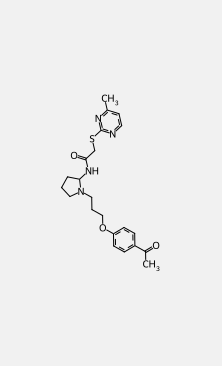 CC(=O)c1ccc(OCCCN2CCCC2NC(=O)CSc2nccc(C)n2)cc1